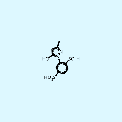 Cc1[c]c(O)n(-c2cc(S(=O)(=O)O)ccc2S(=O)(=O)O)n1